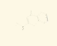 CN1C=C(C(N)=O)Cc2ccccc21